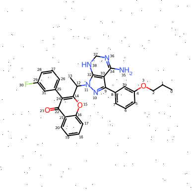 CCCOc1cccc(-c2nn(C(C)c3oc4ccccc4c(=O)c3-c3cccc(F)c3)c3c2C(N)=NCN3)c1